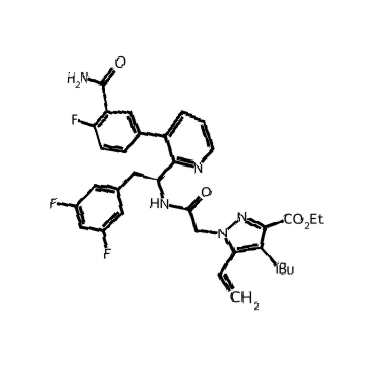 C=Cc1c(C(C)CC)c(C(=O)OCC)nn1CC(=O)N[C@@H](Cc1cc(F)cc(F)c1)c1ncccc1-c1ccc(F)c(C(N)=O)c1